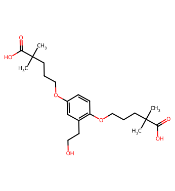 CC(C)(CCCOc1ccc(OCCCC(C)(C)C(=O)O)c(CCO)c1)C(=O)O